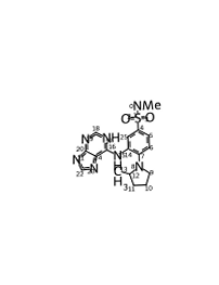 CNS(=O)(=O)c1ccc(N2CCCC2C)c(Nc2[nH]cnc3ncnc2-3)c1